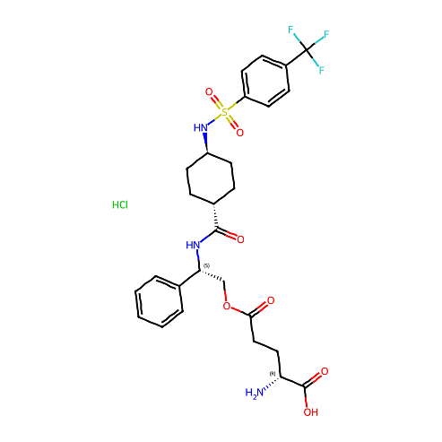 Cl.N[C@H](CCC(=O)OC[C@@H](NC(=O)[C@H]1CC[C@H](NS(=O)(=O)c2ccc(C(F)(F)F)cc2)CC1)c1ccccc1)C(=O)O